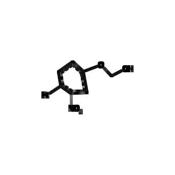 CCc1ccc(OCO)cc1[N+](=O)[O-]